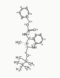 C[C@H]1C(CO[Si](C)(C)C(C)(C)C)Nc2ccccc2C1NC(=O)OCc1ccccc1